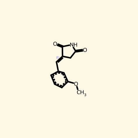 COc1cccc(/C=C2\CC(=O)NC2=O)c1